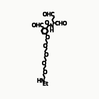 CCNCCOCCOCCOCCOCCOc1ccc(C=O)c(C(=O)NC(C=O)CCC=O)c1